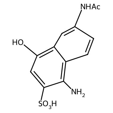 CC(=O)Nc1ccc2c(N)c(S(=O)(=O)O)cc(O)c2c1